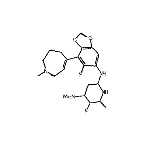 CNC1CC(Nc2cc3c(c(C4=CCN(C)CCC4)c2F)OCO3)NC(C)C1F